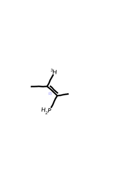 [3H]/C(C)=C(\C)P